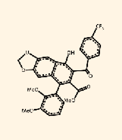 COC(=O)c1c(C(=O)c2ccc(C(F)(F)F)cc2)c(O)c2cc3c(cc2c1-c1cccc(OC)c1OC)OCO3